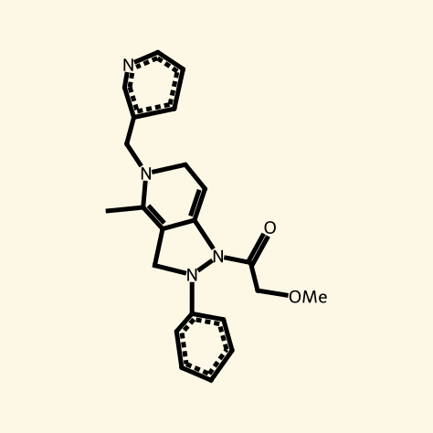 COCC(=O)N1C2=CCN(Cc3cccnc3)C(C)=C2CN1c1ccccc1